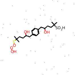 CC(C)(CCC(O)Cc1ccc(CC(O)CCC(C)(C)S(=O)(=O)O)cc1)SOOO